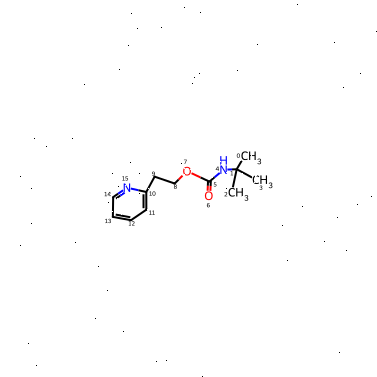 CC(C)(C)NC(=O)OCCc1ccccn1